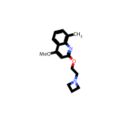 COc1cc(OCCN2CCC2)nc2c(C)cccc12